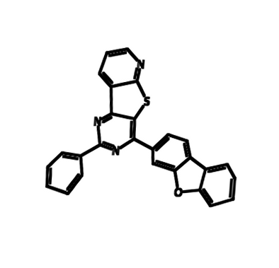 c1ccc(-c2nc(-c3ccc4c(c3)oc3ccccc34)c3sc4ncccc4c3n2)cc1